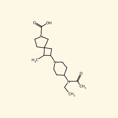 CCN(C(C)=O)C1CCN(C2CC3(CCN(C(=O)O)C3)C2C)CC1